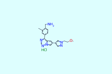 COCCn1cc(-c2cc3c(-c4ccc(CN)c(C)c4)ncnn3c2)cn1.Cl